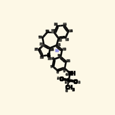 CS(=O)(=O)Nc1cccc(/C=C2/c3ccccc3CCc3ccsc32)c1